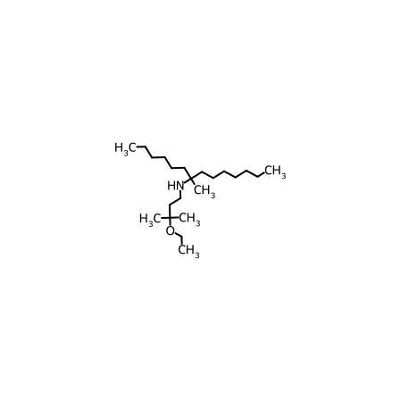 CCCCCCCC(C)(CCCCCC)NCCC(C)(C)OCC